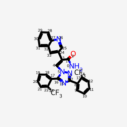 NC(=O)C(=Cn1nc(-c2ccccc2C(F)(F)F)nc1-c1ccccc1C(F)(F)F)c1cnc2ccccc2c1